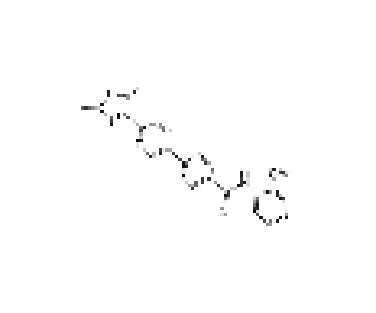 COc1ccccc1NC(=O)c1ccc(-c2ccc(C3=NC(C)ON3C)cc2)cc1